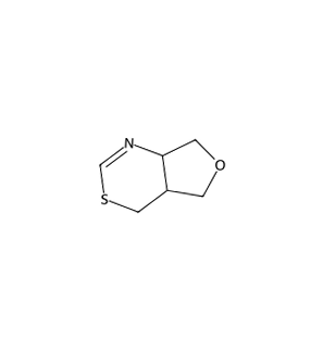 C1=NC2COCC2CS1